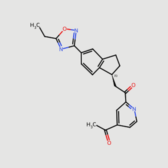 CCc1nc(-c2ccc3c(c2)CC[C@H]3CC(=O)c2cc(C(C)=O)ccn2)no1